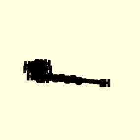 OCC1OC(OCCOCCOCCOCCOCCOCCOCCCCCCCCCCCS)C(O)C(O)C1O[C@@H]1O[C@@H](CO)C(O)C(O)C1O